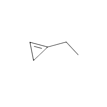 CCC1=[C]C1